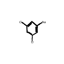 [Na][c]1cc(Cl)cc(Cl)c1